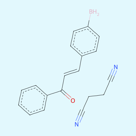 Bc1ccc(/C=C/C(=O)c2ccccc2)cc1.N#CCCC#N